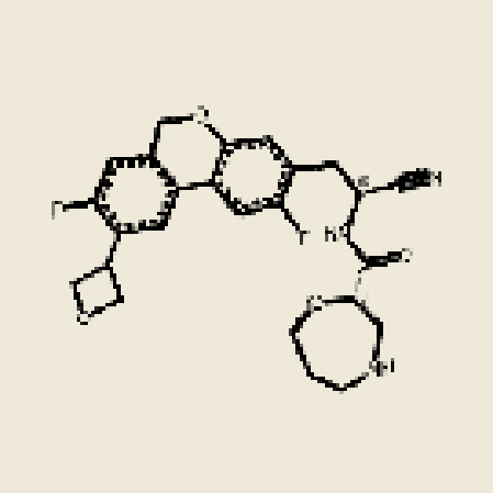 N#C[C@H](Cc1cc2c(cc1F)-c1cc(C3COC3)c(F)cc1CO2)NC(=O)[C@@H]1CNCCCO1